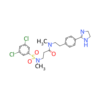 CN(CCc1ccc(C2=NCCN2)cc1)C(=O)CCN(C)S(=O)(=O)c1cc(Cl)cc(Cl)c1